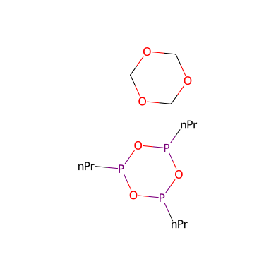 C1OCOCO1.CCCP1OP(CCC)OP(CCC)O1